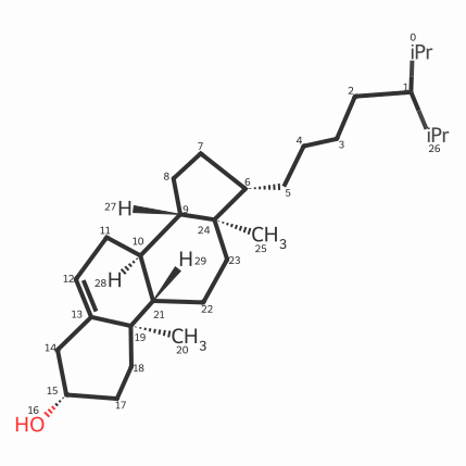 CC(C)C(CCCC[C@H]1CC[C@H]2[C@@H]3CC=C4C[C@@H](O)CC[C@]4(C)[C@H]3CC[C@]12C)C(C)C